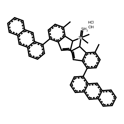 CC1=Cc2c(-c3cccc4cc5ccccc5cc34)ccc(C)c2[CH]1[Zr]([CH3])([CH3])(=[SiH2])[CH]1C(C)=Cc2c(-c3cccc4cc5ccccc5cc34)ccc(C)c21.Cl.Cl